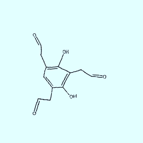 O=CCc1cc(CC=O)c(O)c(CC=O)c1O